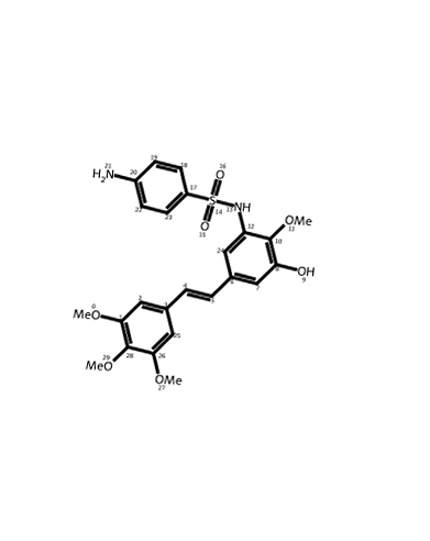 COc1cc(C=Cc2cc(O)c(OC)c(NS(=O)(=O)c3ccc(N)cc3)c2)cc(OC)c1OC